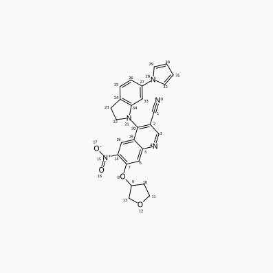 N#Cc1cnc2cc(OC3CCOC3)c([N+](=O)[O-])cc2c1N1CCc2ccc(-n3cccc3)cc21